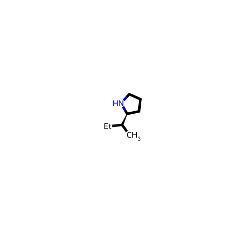 CCC(C)[C@@H]1CCCN1